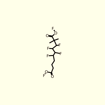 CC(C)(C(=O)OF)C(F)C(F)C(F)C(F)CCCC(=O)OF